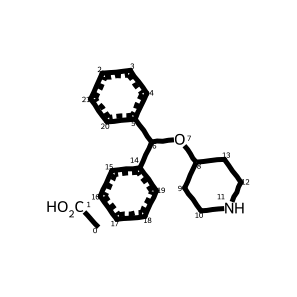 CC(=O)O.c1ccc(C(OC2CCNCC2)c2ccccc2)cc1